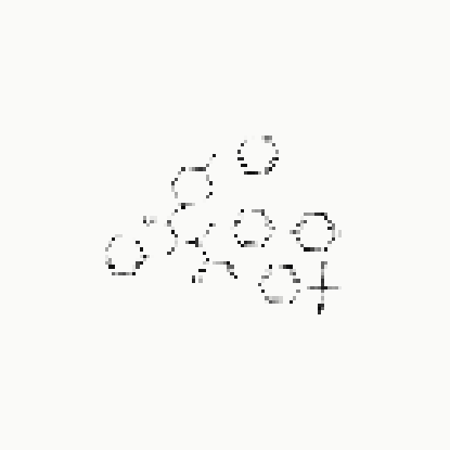 O=C(C(Cc1ccccc1)N(Cc1ccc(-c2ccncc2)cc1)C(=O)C=Cc1ccc(C(F)(F)F)cc1)N1CCN(Cc2ccccc2)CC1